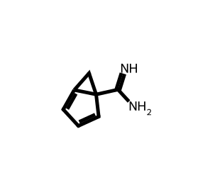 N=C(N)C12C=CC=C1C2